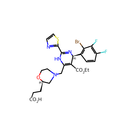 CCOC(=O)C1=C(CN2CCO[C@H](CCC(=O)O)C2)NC(c2nccs2)=N[C@H]1c1ccc(F)c(F)c1Br